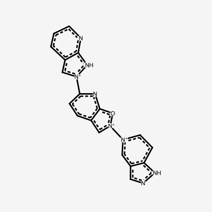 c1cnc2[nH][n+](-c3ccc4c[n+](-[n+]5ccc6[nH]ncc6c5)oc4n3)cc2c1